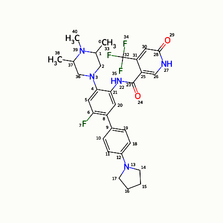 CC1CN(c2cc(F)c(-c3ccc(N4CCCC4)cc3)cc2NC(=O)c2c[nH]c(=O)cc2C(F)(F)F)CC(C)N1C